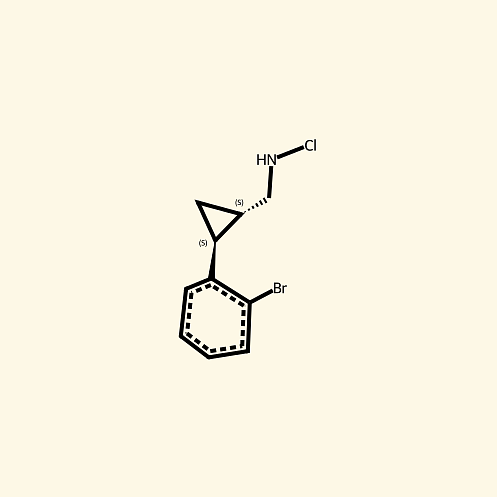 ClNC[C@H]1C[C@@H]1c1ccccc1Br